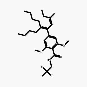 CCCCC(CCCC)=C(/C=C(/C)CC)c1cc(OC)c(C(=O)NCC(C)(F)F)c(OC)c1